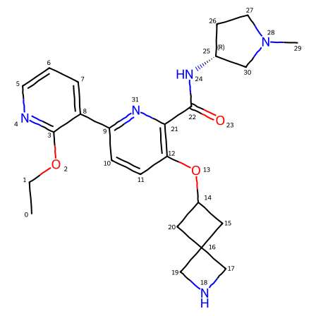 CCOc1ncccc1-c1ccc(OC2CC3(CNC3)C2)c(C(=O)N[C@@H]2CCN(C)C2)n1